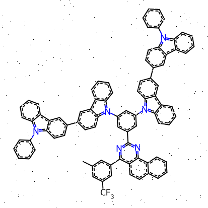 Cc1cc(-c2nc(-c3cc(-n4c5ccccc5c5cc(-c6ccc7c(c6)c6ccccc6n7-c6ccccc6)ccc54)cc(-n4c5ccccc5c5cc(-c6ccc7c(c6)c6ccccc6n7-c6ccccc6)ccc54)c3)nc3c2ccc2ccccc23)cc(C(F)(F)F)c1